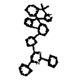 CC1(C)c2ccccc2C2(c3ccccc3-c3c(-c4cccc(-c5cc(-c6ccccc6)nc(-c6ccccc6)n5)c4)cccc32)c2ccccc21